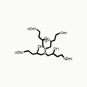 CCCCCCCCCCCCC(O)CN(CC(O)CCCCCCCCCCCC)N(CC(O)CCCCCCCCCCCC)CC(O)CCCCCCCCCCCC